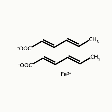 CC=CC=CC(=O)[O-].CC=CC=CC(=O)[O-].[Fe+2]